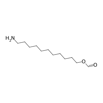 NCCCCCCCCCCCOC=O